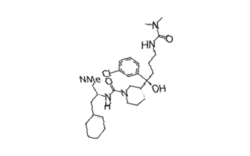 CNCC(CC1CCCCC1)NC(=O)N1CCC[C@@H]([C@@](O)(CCCNC(=O)N(C)C)c2cccc(Cl)c2)C1